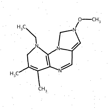 CCN1CC(C)=C(C)C2=C1N1CN(OC)C=C1C=N2